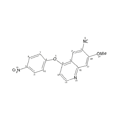 [C-]#[N+]c1cc2c(Oc3ccc([N+](=O)[O-])cc3)ccnc2cc1OC